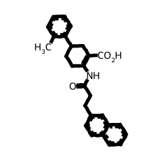 Cc1ccccc1C1CCC(NC(=O)CCc2ccc3ccccc3c2)=C(C(=O)O)C1